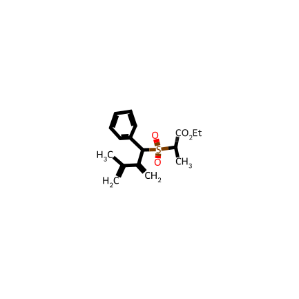 C=C(C)C(=C)C(c1ccccc1)S(=O)(=O)C(C)C(=O)OCC